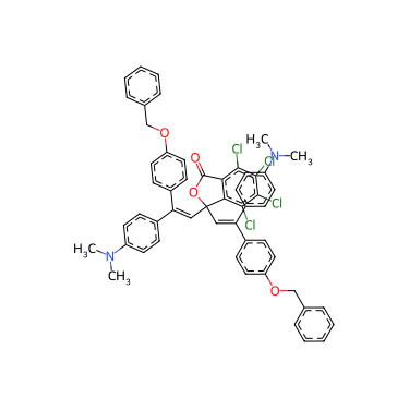 CN(C)c1ccc(C(=CC2(C=C(c3ccc(OCc4ccccc4)cc3)c3ccc(N(C)C)cc3)OC(=O)c3c(Cl)c(Cl)c(Cl)c(Cl)c32)c2ccc(OCc3ccccc3)cc2)cc1